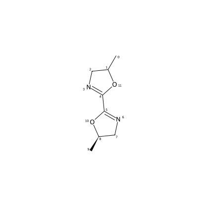 CC1CN=C(C2=NC[C@@H](C)O2)O1